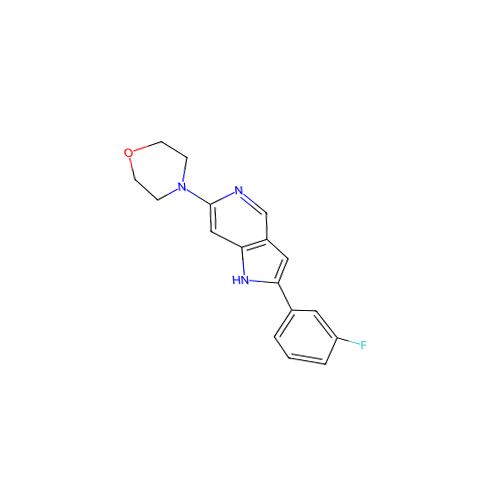 Fc1cccc(-c2cc3cnc(N4CCOCC4)cc3[nH]2)c1